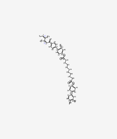 C=C(/C=C(F)\C(F)=C/C)c1ccc(-c2ccc(OC(=O)CCCCCCCCCC(=O)Oc3ccc(-c4ccc(F)c(F)c4)cc3)cc2F)cc1